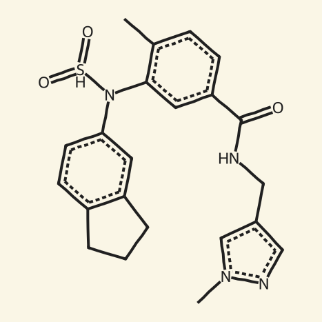 Cc1ccc(C(=O)NCc2cnn(C)c2)cc1N(c1ccc2c(c1)CCC2)[SH](=O)=O